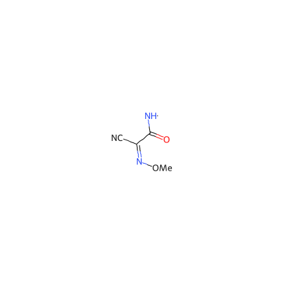 CON=C(C#N)C([NH])=O